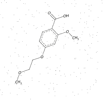 COCCOc1ccc(C(=O)O)c(OC)c1